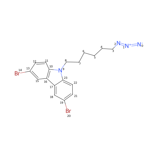 [N-]=[N+]=NCCCCCCn1c2ccc(Br)cc2c2cc(Br)ccc21